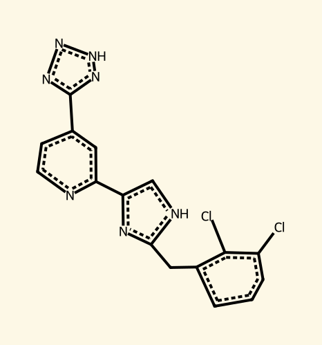 Clc1cccc(Cc2nc(-c3cc(-c4nn[nH]n4)ccn3)c[nH]2)c1Cl